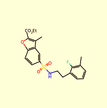 CCOC(=O)c1oc2ccc(S(=O)(=O)NCCc3cccc(C)c3F)cc2c1C